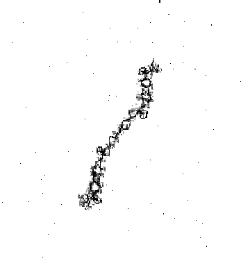 CCC(C)(C(=O)c1ccc(N2CCN(CCC(=O)OCCOC=CC=COCCOC(=O)CCN3CCN(c4ccc(C(=O)C(C)(CC)N(C)C)cc4)CC3)CC2)cc1)N(C)C